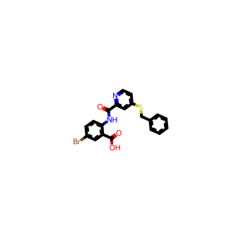 O=C(Nc1ccc(Br)cc1C(=O)O)c1cc(SCc2ccccc2)ccn1